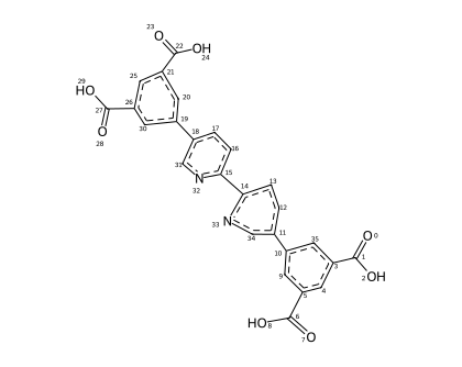 O=C(O)c1cc(C(=O)O)cc(-c2ccc(-c3ccc(-c4cc(C(=O)O)cc(C(=O)O)c4)cn3)nc2)c1